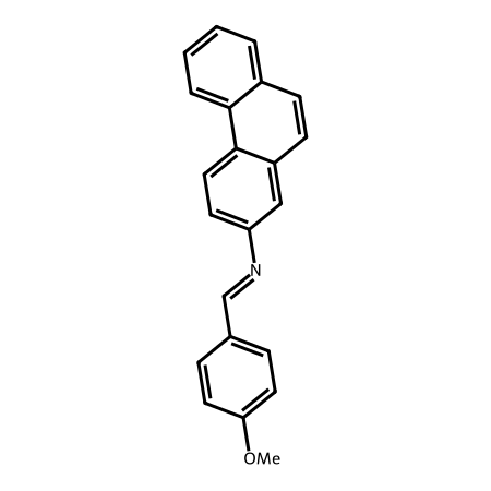 COc1ccc(C=Nc2ccc3c(ccc4ccccc43)c2)cc1